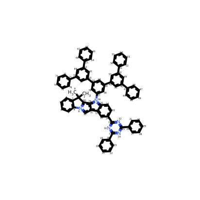 CC1(C)c2ccccc2-n2cc3c4cc(-c5nc(-c6ccccc6)nc(-c6ccccc6)n5)ccc4n(-c4cc(-c5cc(-c6ccccc6)cc(-c6ccccc6)c5)cc(-c5cc(-c6ccccc6)cc(-c6ccccc6)c5)c4)c3c21